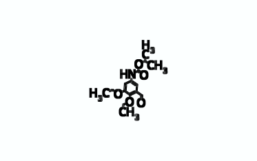 CCOc1cc(NC(=O)OC(C)C)cc(C=O)c1OCC